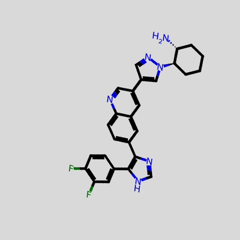 N[C@@H]1CCCC[C@H]1n1cc(-c2cnc3ccc(-c4nc[nH]c4-c4ccc(F)c(F)c4)cc3c2)cn1